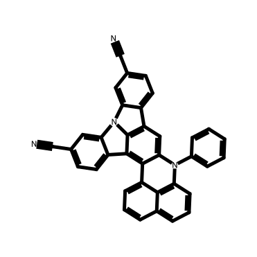 N#Cc1ccc2c3cc4c(c5cccc6cccc(c65)n4-c4ccccc4)c4c5ccc(C#N)cc5n(c2c1)c34